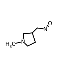 CN1CCC(CN=O)C1